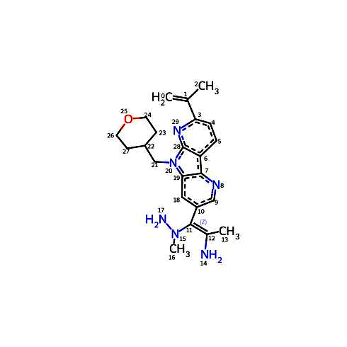 C=C(C)c1ccc2c3ncc(/C(=C(\C)N)N(C)N)cc3n(CC3CCOCC3)c2n1